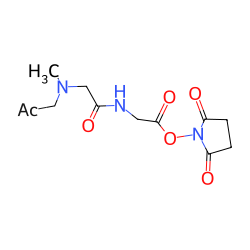 CC(=O)CN(C)CC(=O)NCC(=O)ON1C(=O)CCC1=O